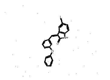 O=C1Nc2ccc(I)cc2C1=Cc1cccc(Oc2ccccc2)c1